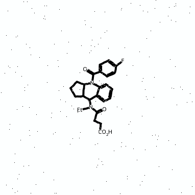 CCN(C(=O)CCC(=O)O)C1c2ccccc2N(C(=O)c2ccc(F)cc2)C2CCCC12